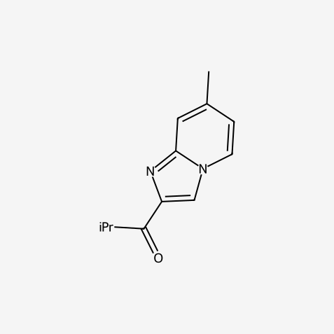 Cc1ccn2cc(C(=O)C(C)C)nc2c1